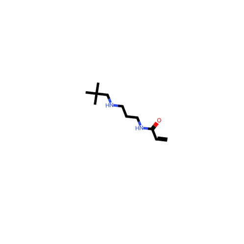 C=CC(=O)NCCCNCC(C)(C)C